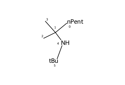 CCCCCC(C)(C)NC(C)(C)C